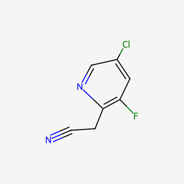 N#CCc1ncc(Cl)cc1F